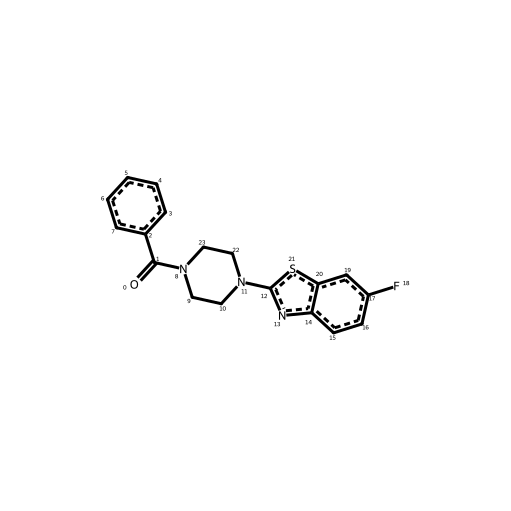 O=C(c1ccccc1)N1CCN(c2nc3ccc(F)cc3s2)CC1